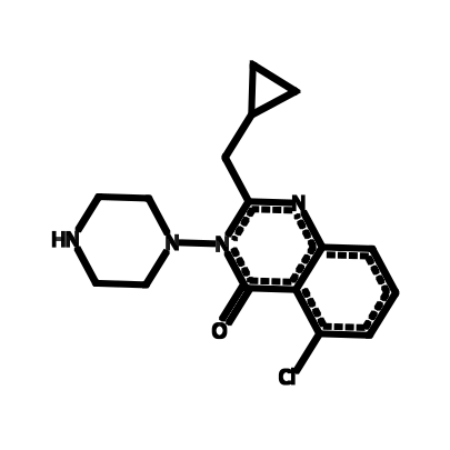 O=c1c2c(Cl)cccc2nc(CC2CC2)n1N1CCNCC1